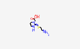 NCCS/N=C1\NCCCN1CC(=O)O